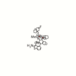 CO[C@H](C)CN1CC2CCC(C1)N2c1nc(OC[C@@]23CCCN2C[C@H](F)C3)nc2c(F)c(-c3cccc4sc(N)c(C#N)c34)c3c(c12)COC3